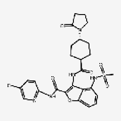 CS(=O)(=O)Nc1cccc2oc(C(=O)Nc3ccc(Cl)cn3)c(NC(=O)[C@H]3CC[C@H](N4CCCC4=O)CC3)c12